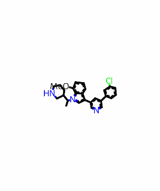 COc1cccc2c(-c3cncc(-c4cccc(Cl)c4)c3)cn(C(C)C3CCCNC3)c12